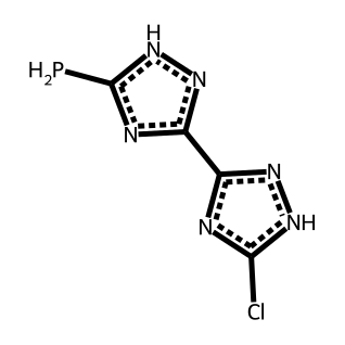 Pc1nc(-c2n[nH]c(Cl)n2)n[nH]1